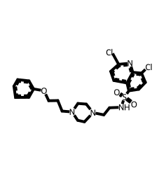 O=S(=O)(NCCN1CCN(CCCOc2ccccc2)CC1)c1ccc(Cl)c2nc(Cl)ccc12